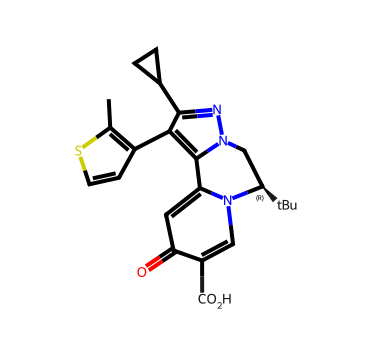 Cc1sccc1-c1c(C2CC2)nn2c1-c1cc(=O)c(C(=O)O)cn1[C@H](C(C)(C)C)C2